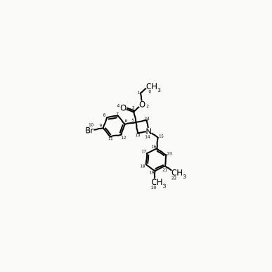 CCOC(=O)C1(c2ccc(Br)cc2)CN(Cc2ccc(C)c(C)c2)C1